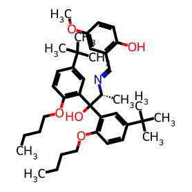 CCCCOc1ccc(C(C)(C)C)cc1C(O)(c1cc(C(C)(C)C)ccc1OCCCC)[C@@H](C)N=Cc1cc(OC)ccc1O